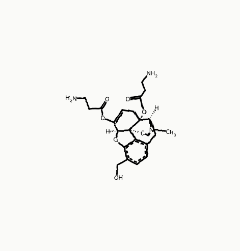 CN1CC[C@]23c4c5ccc(CO)c4O[C@H]2C(OC(=O)CCN)=CC[C@@]3(OC(=O)CCN)[C@H]1C5